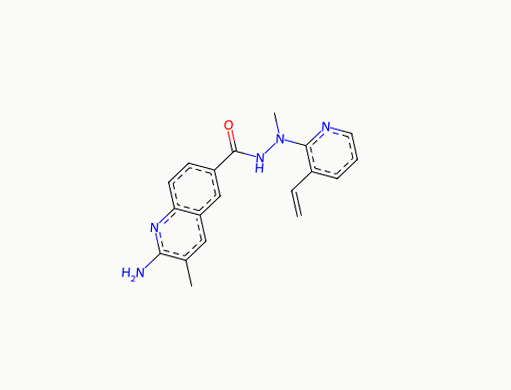 C=Cc1cccnc1N(C)NC(=O)c1ccc2nc(N)c(C)cc2c1